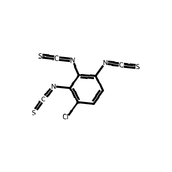 S=C=Nc1ccc(Cl)c(N=C=S)c1N=C=S